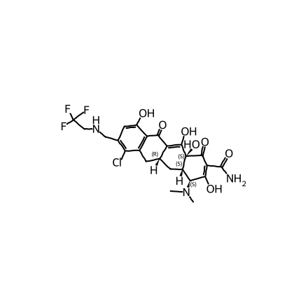 CN(C)[C@@H]1C(O)=C(C(N)=O)C(=O)[C@@]2(O)C(O)=C3C(=O)c4c(O)cc(CNCC(F)(F)F)c(Cl)c4C[C@H]3C[C@@H]12